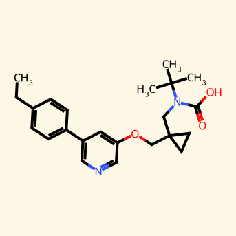 CCc1ccc(-c2cncc(OCC3(CN(C(=O)O)C(C)(C)C)CC3)c2)cc1